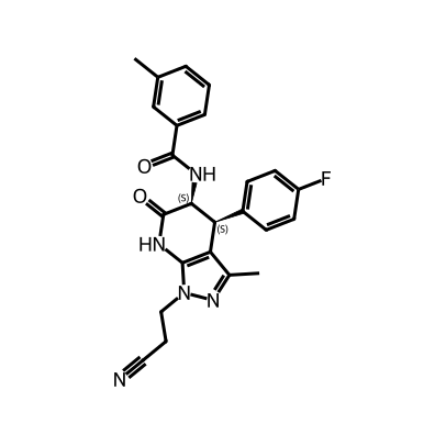 Cc1cccc(C(=O)N[C@@H]2C(=O)Nc3c(c(C)nn3CCC#N)[C@@H]2c2ccc(F)cc2)c1